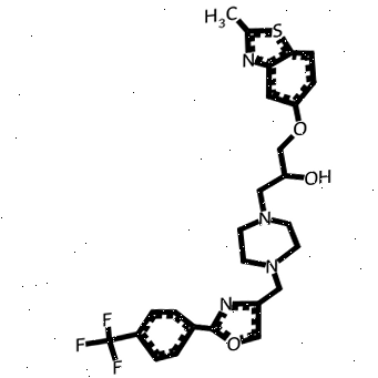 Cc1nc2cc(OCC(O)CN3CCN(Cc4coc(-c5ccc(C(F)(F)F)cc5)n4)CC3)ccc2s1